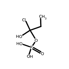 CCC(O)(Cl)OP(=O)(O)O